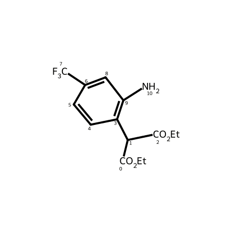 CCOC(=O)C(C(=O)OCC)c1ccc(C(F)(F)F)cc1N